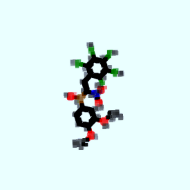 COc1ccc([S+]([O-])C(=Cc2c(F)c(F)c(F)c(F)c2F)[N+](=O)[O-])cc1OC